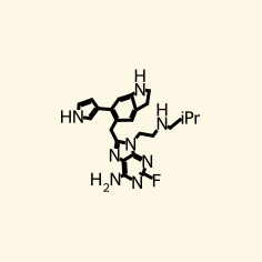 CC(C)CNCCn1c(Cc2cc3c(cc2-c2cc[nH]c2)NCC3)nc2c(N)nc(F)nc21